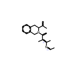 C=C(C)C1Cc2ccccc2CN1C(=C)/C(C)=C(C)/N=C\C